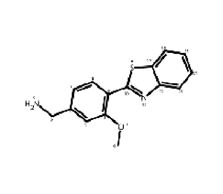 COc1cc(CN)ccc1-c1nc2ccccc2s1